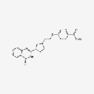 CNC(=O)c1ccc(OCCN2CCC(c3nc4ccccc4c(=O)[nH]3)C2)cn1